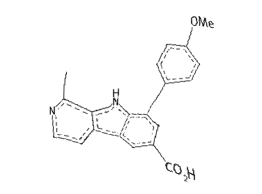 COc1ccc(-c2cc(C(=O)O)cc3c2[nH]c2c(C)nccc23)cc1